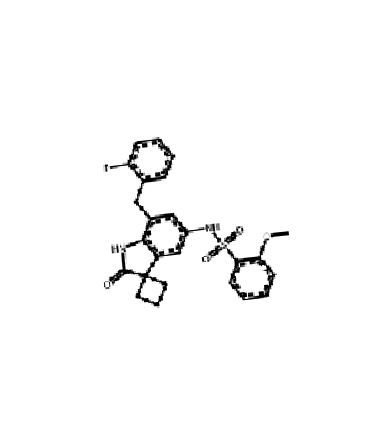 COc1ccccc1S(=O)(=O)Nc1cc(Cc2ccccc2F)c2c(c1)C1(CCC1)C(=O)N2